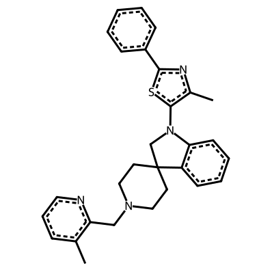 Cc1cccnc1CN1CCC2(CC1)CN(c1sc(-c3ccccc3)nc1C)c1ccccc12